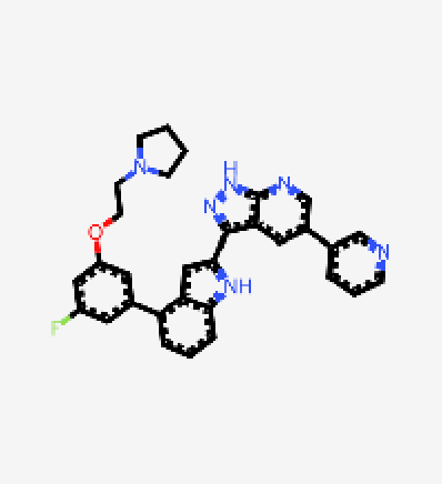 Fc1cc(OCCN2CCCC2)cc(-c2cccc3[nH]c(-c4n[nH]c5ncc(-c6cccnc6)cc45)cc23)c1